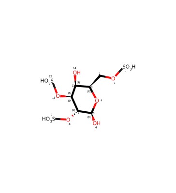 O=S(=O)(O)OC[C@H]1O[C@@H](O)[C@H](OS(=O)(=O)O)[C@@H](OS(=O)(=O)O)[C@H]1O